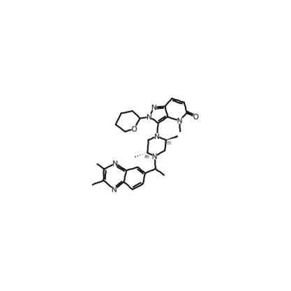 Cc1nc2ccc(C(C)N3C[C@H](C)N(c4c5c(ccc(=O)n5C)nn4C4CCCCO4)C[C@H]3C)cc2nc1C